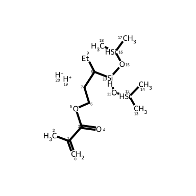 C=C(C)C(=O)OCCC(CC)[SiH](O[SiH](C)C)O[SiH](C)C.[H+].[H+]